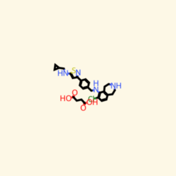 Clc1ccc2c(c1NCc1ccc(-c3cc(NCC4CC4)sn3)cc1)CCNCC2.O=C(O)CCC(=O)O